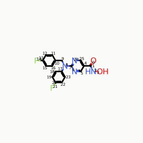 O=C(NO)c1cnc(N(Cc2ccc(F)cc2)c2ccc(F)cc2)nc1